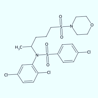 CC(CCCS(=O)(=O)N1CCOCC1)N(c1cc(Cl)ccc1Cl)S(=O)(=O)c1ccc(Cl)cc1